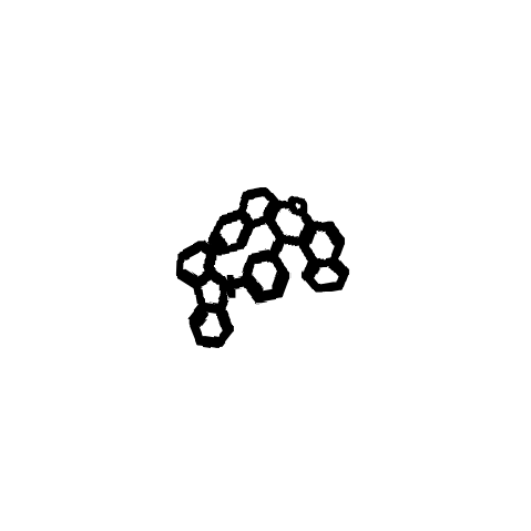 c1cc(C2c3c(ccc4ccccc34)Oc3ccc4ccccc4c32)cc(-n2c3ccccc3c3ccccc32)c1